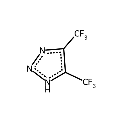 FC(F)(F)c1nn[nH]c1C(F)(F)F